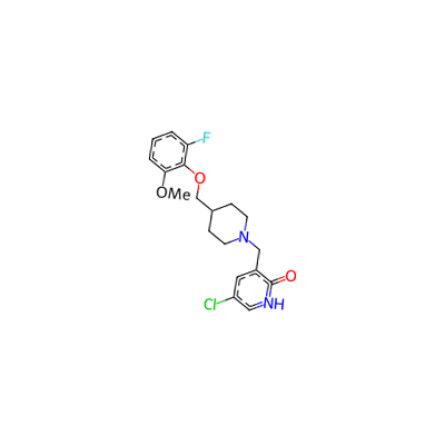 COc1cccc(F)c1OCC1CCN(Cc2cc(Cl)c[nH]c2=O)CC1